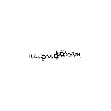 C=CCCc1ccc(C=NN=Cc2ccc(-c3ccc(CCCCCCC)cc3)c(F)c2)cc1